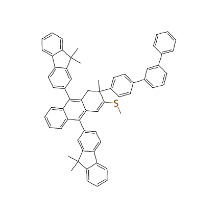 CSC1=Cc2c(c(-c3ccc4c(c3)C(C)(C)c3ccccc3-4)c3ccccc3c2-c2ccc3c(c2)C(C)(C)c2ccccc2-3)CC1(C)c1ccc(-c2cccc(-c3ccccc3)c2)cc1